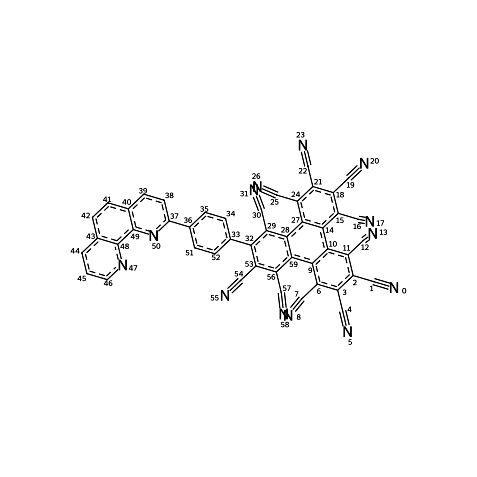 N#Cc1c(C#N)c(C#N)c2c(c1C#N)c1c(C#N)c(C#N)c(C#N)c(C#N)c1c1c(C#N)c(-c3ccc(-c4ccc5ccc6cccnc6c5n4)cc3)c(C#N)c(C#N)c21